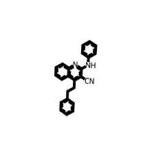 N#Cc1c(Nc2ccccc2)nc2ccccc2c1CCc1ccccc1